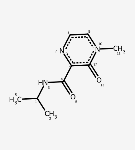 CC(C)NC(=O)c1nccn(C)c1=O